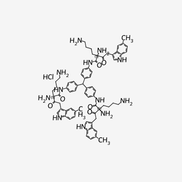 Cc1ccc2[nH]cc(CC(=O)[C@@](N)(CCCCN)C(=O)Nc3ccc(C(c4ccc(NC(=O)[C@](N)(CCCCN)C(=O)Cc5c[nH]c6ccc(C)cc56)cc4)c4ccc(NC(=O)[C@](N)(CCCCN)C(=O)Cc5c[nH]c6ccc(C)cc56)cc4)cc3)c2c1.Cl